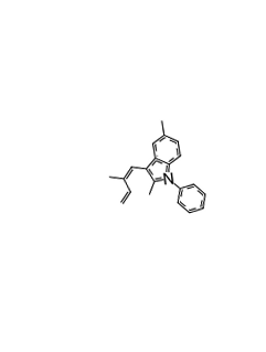 C=C/C(C)=C\c1c(C)n(-c2ccccc2)c2ccc(C)cc12